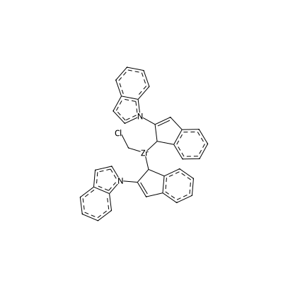 Cl[CH2][Zr]([CH]1C(n2ccc3ccccc32)=Cc2ccccc21)[CH]1C(n2ccc3ccccc32)=Cc2ccccc21